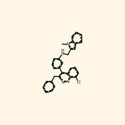 Cn1c(CNc2cccc(-c3c(Cc4ccccc4)nnc4c(Cl)cccc34)c2)cc2ccccc21